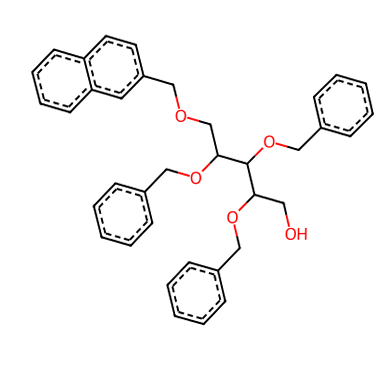 OCC(OCc1ccccc1)C(OCc1ccccc1)C(COCc1ccc2ccccc2c1)OCc1ccccc1